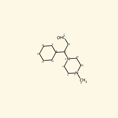 CN1CCN(C(CC=O)C2CCCCC2)CC1